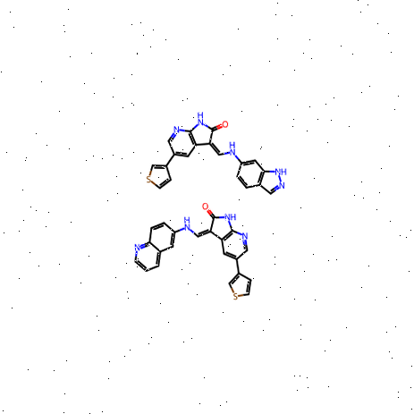 O=C1Nc2ncc(-c3ccsc3)cc2/C1=C/Nc1ccc2cn[nH]c2c1.O=C1Nc2ncc(-c3ccsc3)cc2/C1=C/Nc1ccc2ncccc2c1